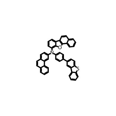 c1ccc2c(c1)ccc1ccc(N(c3ccc(-c4ccc5sc6ccccc6c5c4)cc3)c3cccc4c3oc3c5ccccc5ccc43)cc12